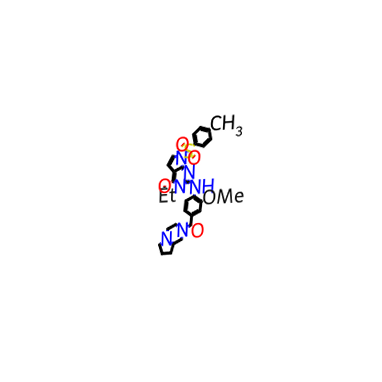 CCOc1nc(Nc2ccc(C(=O)N3CCN4CCCC4C3)cc2OC)nc2c1ccn2S(=O)(=O)c1ccc(C)cc1